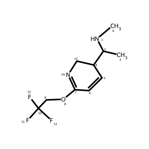 CNC(C)C1C=CC(OCC(F)(F)F)=NC1